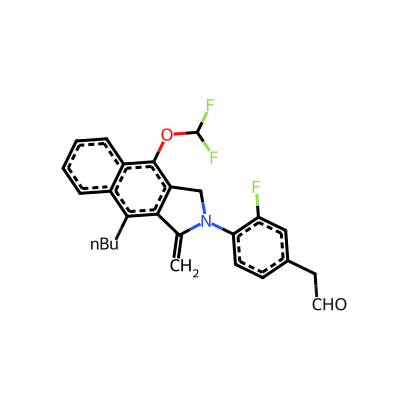 C=C1c2c(c(OC(F)F)c3ccccc3c2CCCC)CN1c1ccc(CC=O)cc1F